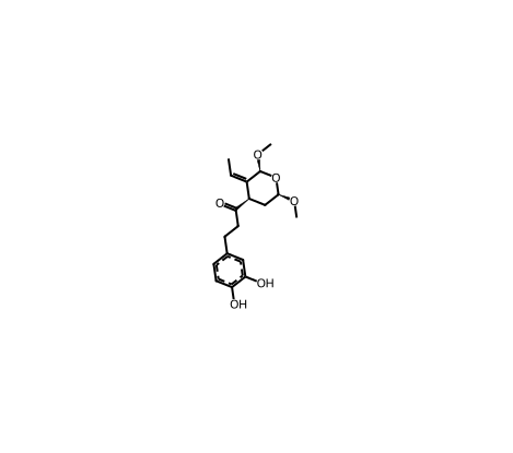 C/C=C1\[C@@H](OC)O[C@@H](OC)C[C@H]1C(=O)CCc1ccc(O)c(O)c1